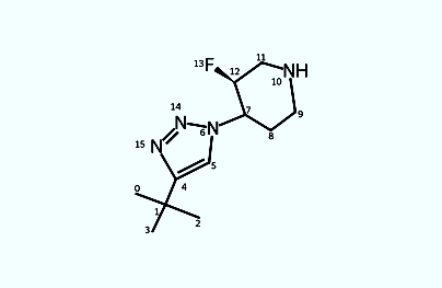 CC(C)(C)c1cn(C2CCNC[C@@H]2F)nn1